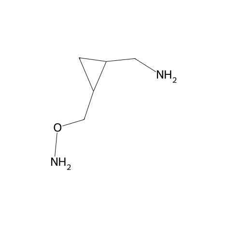 NCC1CC1CON